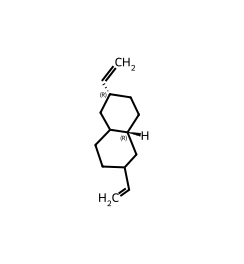 C=CC1CCC2C[C@H](C=C)CC[C@@H]2C1